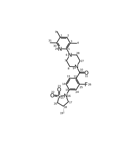 Cc1cc(C)c(N2CCN(C(=O)c3ccc(N4C[C@H](C)CS4(=O)=O)cc3F)CC2)nc1C